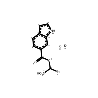 CCC(OC(=O)c1ccc2cc[nH]c2c1)S(=O)(=O)O.[K].[K]